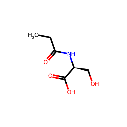 CCC(=O)N[C@@H](CO)C(=O)O